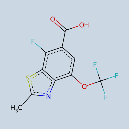 Cc1nc2c(OC(F)(F)F)cc(C(=O)O)c(F)c2s1